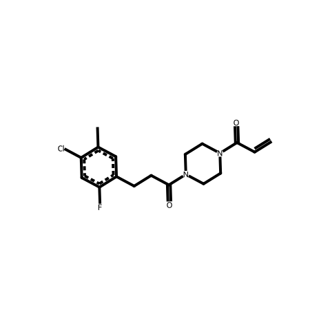 C=CC(=O)N1CCN(C(=O)CCc2cc(C)c(Cl)cc2F)CC1